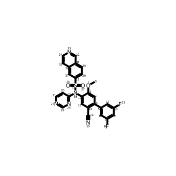 COc1cc(-c2cc(F)cc(F)c2)c(C#N)cc1N(c1ccncn1)S(=O)(=O)c1ccc2cnccc2c1